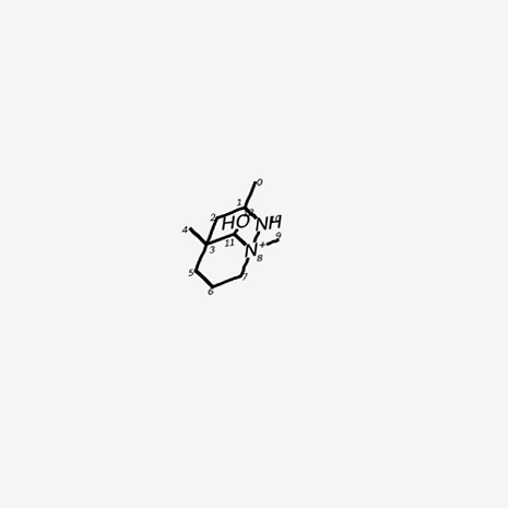 CC1CC2(C)CCC[N+](C)(N1)C2O